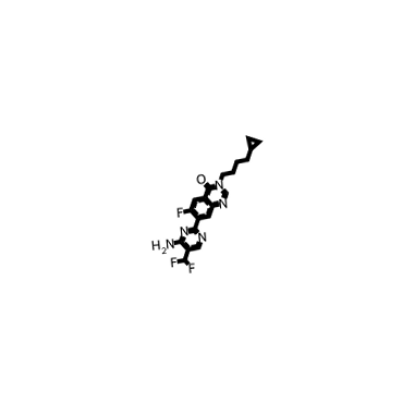 Nc1nc(-c2cc3ncn(CCCCC4CC4)c(=O)c3cc2F)ncc1C(F)F